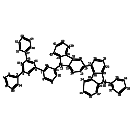 c1ccc(-c2cc(-c3cccc(-n4c5ccc(-c6cccc7c6c6ccccc6n7-c6ccccc6)cc5c5ncccc54)c3)cc(-c3ccccc3)n2)cc1